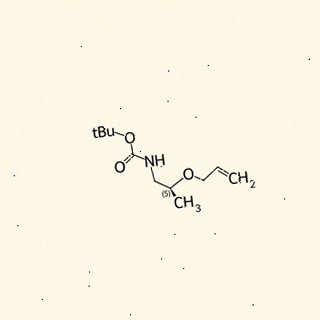 C=CCO[C@@H](C)CNC(=O)OC(C)(C)C